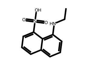 CCNc1cccc2cccc(S(=O)(=O)O)c12